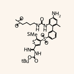 CSc1sc(C(=N)NC(=O)OC(C)(C)C)cc1S(=O)(=O)c1cccc(-c2c(C)cc(N)cc2NC(=O)NCCCCS(C)(=O)=O)c1